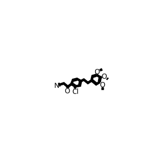 COc1cc(CCc2ccc(C(=O)CC#N)c(Cl)c2)cc(OC)c1OC